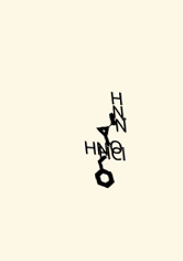 Cl.O=C(NCCc1ccccc1)C1C[C@@H]1c1c[nH]cn1